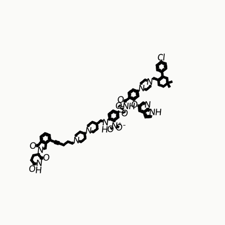 CC1(C)CCC(CN2CCN(c3ccc(C(=O)NS(=O)(=O)c4ccc(NCC5CCN(C6CCN(CCCC#Cc7cccc8c7CN(C7CCC(=O)NC7=O)C8=O)CC6)CC5)c([N+](=O)[O-])c4)c(Oc4cnc5[nH]ccc5c4)c3)CC2)=C(c2ccc(Cl)cc2)C1